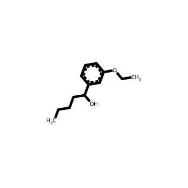 CCCCC(O)c1cccc(OCC)c1